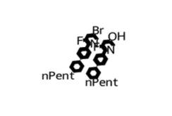 CCCCC[C@H]1CC[C@H](c2ccc(-c3ncc(Br)cc3F)cc2)CC1.CCCCC[C@H]1CC[C@H](c2ccc(-c3ncc(O)cc3F)cc2)CC1